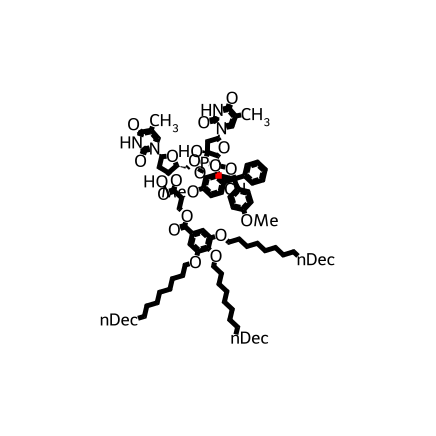 CCCCCCCCCCCCCCCCCCOc1cc(C(=O)OCCC(=O)O[C@]2(O)C[C@H](n3cc(C)c(=O)[nH]c3=O)O[C@@H]2COP(=O)(OCCC#N)[C@]2(O)C[C@H](n3cc(C)c(=O)[nH]c3=O)O[C@@H]2COC(c2ccccc2)(c2ccc(OC)cc2)c2ccc(OC)cc2)cc(OCCCCCCCCCCCCCCCCCC)c1OCCCCCCCCCCCCCCCCCC